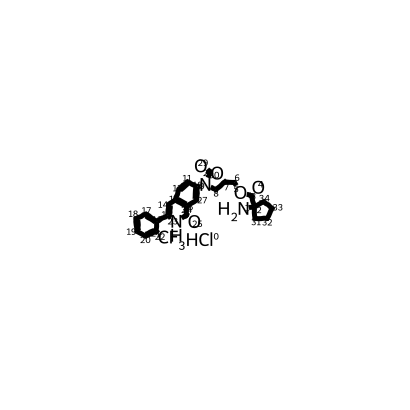 Cl.NC1(C(=O)OCC2CN(c3ccc4cc(-c5ccccc5C(F)(F)F)[nH]c(=O)c4c3)C(=O)O2)CCCC1